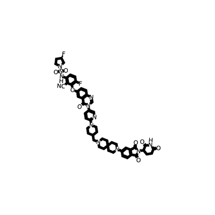 N#Cc1c(NS(=O)(=O)N2CC[C@@H](F)C2)ccc(F)c1Oc1ccc2ncn(-c3ccc(N4CCC(CN5CCC6(CC5)CCN(c5ccc7c(c5)C(=O)N(C5CCC(=O)NC5=O)C7=O)CC6)CC4)nc3)c(=O)c2c1